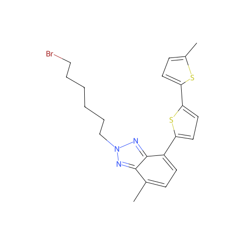 Cc1ccc(-c2ccc(-c3ccc(C)c4nn(CCCCCCBr)nc34)s2)s1